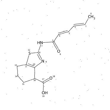 CC=CC=CC(=O)Nc1nc2c(s1)CCCC2C(=O)O